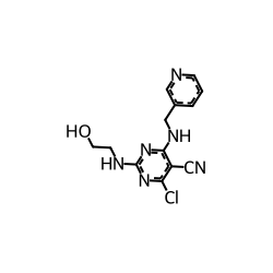 N#Cc1c(Cl)nc(NCCO)nc1NCc1cccnc1